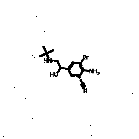 CC(C)(C)NCC(O)c1cc(Br)c(N)c(C#N)c1